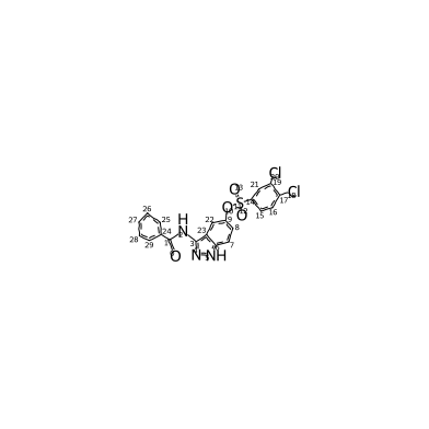 O=C(Nc1n[nH]c2ccc(OS(=O)(=O)c3ccc(Cl)c(Cl)c3)cc12)c1ccccc1